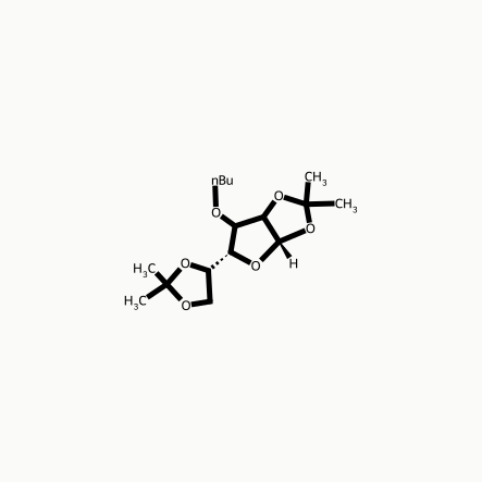 CCCCOC1C2OC(C)(C)O[C@@H]2O[C@@H]1C1COC(C)(C)O1